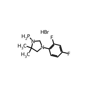 Br.CC1(C)CN(c2ccc(F)cc2F)CN1P